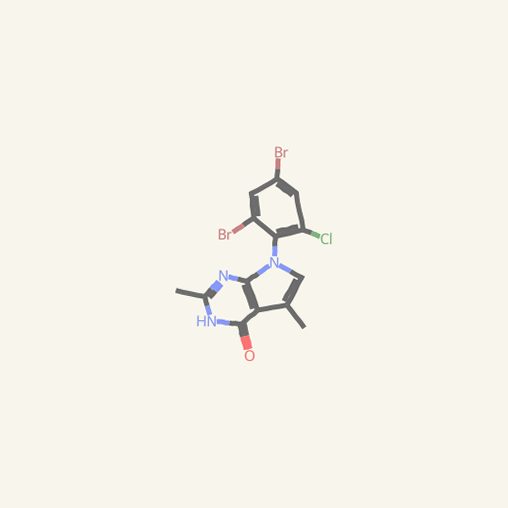 Cc1nc2c(c(C)cn2-c2c(Cl)cc(Br)cc2Br)c(=O)[nH]1